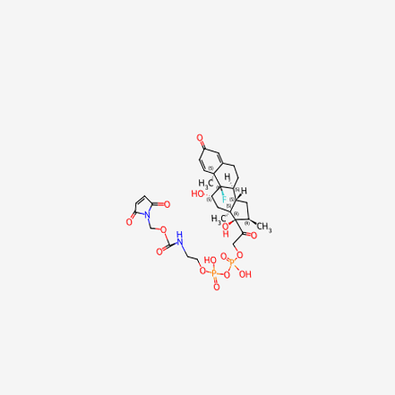 C[C@@H]1C[C@H]2[C@@H]3CCC4=CC(=O)C=C[C@]4(C)[C@@]3(F)[C@@H](O)C[C@]2(C)[C@@]1(O)C(=O)COP(=O)(O)OP(=O)(O)OCCNC(=O)OCN1C(=O)C=CC1=O